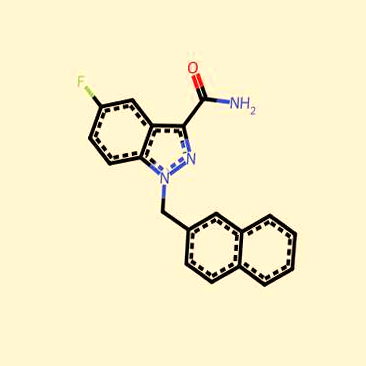 NC(=O)c1nn(Cc2ccc3ccccc3c2)c2ccc(F)cc12